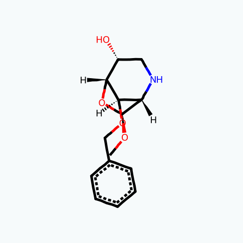 CO[C@H]1O[C@H]2[C@H](OCc3ccccc3)[C@@H]1NC[C@H]2O